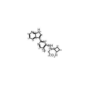 O=C(O)CN(Nc1nc(-c2c[nH]c3ncccc23)ncc1F)C1CCC1